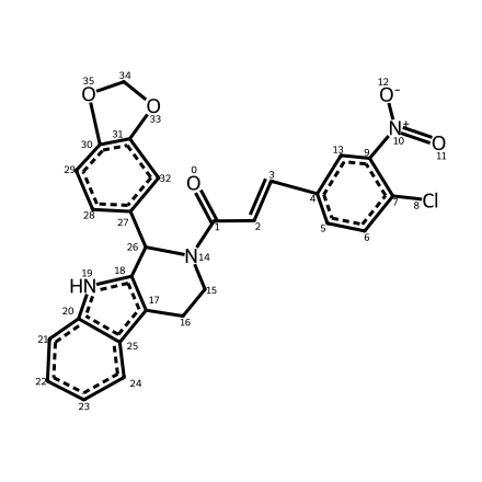 O=C(/C=C/c1ccc(Cl)c([N+](=O)[O-])c1)N1CCc2c([nH]c3ccccc23)C1c1ccc2c(c1)OCO2